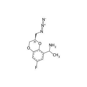 CC(N)c1cc(F)cc2c1O[C@H](CN=[N+]=[N-])CO2